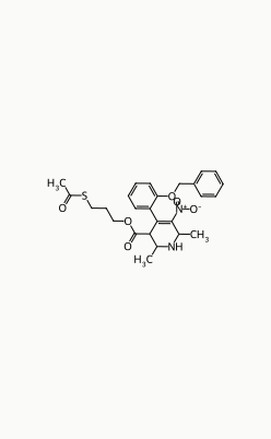 CC(=O)SCCCOC(=O)C1C(c2ccccc2OCc2ccccc2)=C([N+](=O)[O-])C(C)NC1C